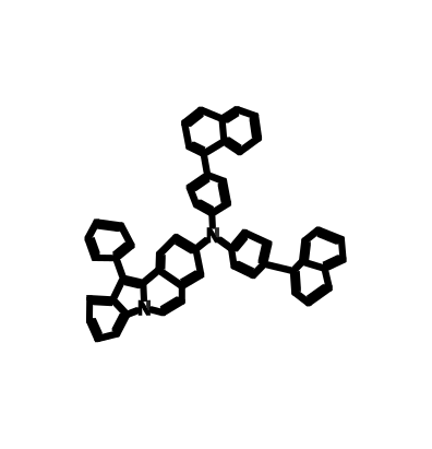 c1ccc(-c2c3ccccc3n3ccc4cc(N(c5ccc(-c6cccc7ccccc67)cc5)c5ccc(-c6cccc7ccccc67)cc5)ccc4c23)cc1